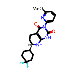 COc1cccc(-n2c(=O)[nH]c3c(c2=O)CC[C@H](C2CCC(F)(F)CC2)N3)n1